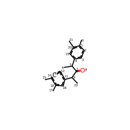 Cc1ccc(C(C)C(=O)C(C)c2ccc(C)c(C)c2)cc1C